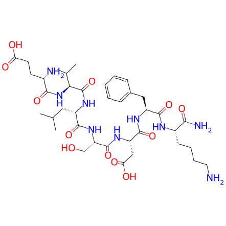 CC(C)C[C@H](NC(=O)[C@@H](NC(=O)[C@@H](N)CCC(=O)O)C(C)C)C(=O)N[C@@H](CO)C(=O)N[C@@H](CC(=O)O)C(=O)N[C@@H](Cc1ccccc1)C(=O)N[C@@H](CCCCN)C(N)=O